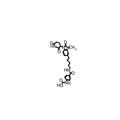 Cn1c(=O)n(C2CCC(=O)NC2=O)c2ccc(CCCCCNC(=O)c3ccc(NC(=O)O)cc3)cc21